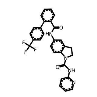 O=C(Nc1ccc2c(c1)CCN2C(=O)Nc1ccccn1)c1ccccc1-c1ccc(C(F)(F)F)cc1